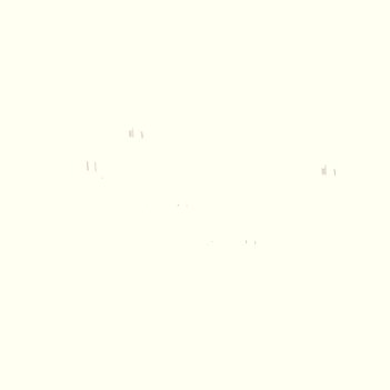 CC(C)CCOC(=O)/C=C\C(=O)O[SiH2]C(C)C